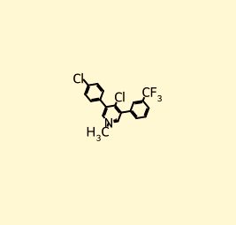 C[n+]1cc(-c2ccc(Cl)cc2)c(Cl)c(-c2cccc(C(F)(F)F)c2)c1